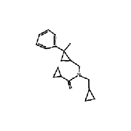 C=C(C1CC1)N(CC1CC1)CC1CC1(C)c1ccccc1